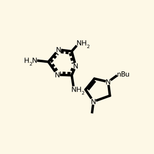 CCCCN1C=CN(C)C1.Nc1nc(N)nc(N)n1